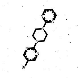 Brc1cnc(N2CCN(c3ncccn3)CC2)nc1